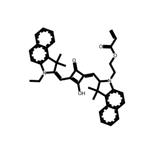 C=CC(=O)OCCN1c2ccc3ccccc3c2C(C)(C)C1C=C1C(=O)C(C=C2N(CC)c3ccc4ccccc4c3C2(C)C)=C1O